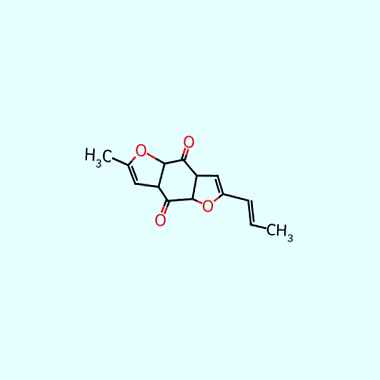 C/C=C/C1=CC2C(=O)C3OC(C)=CC3C(=O)C2O1